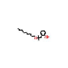 CCCCCCCCCOC(C)(C)Cc1ccccc1O